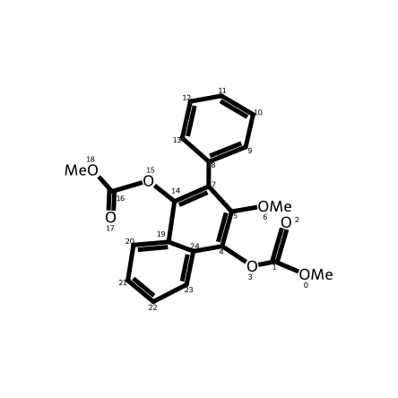 COC(=O)Oc1c(OC)c(-c2ccccc2)c(OC(=O)OC)c2ccccc12